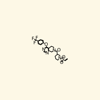 C=CS(=O)(=O)N1CCCC(C(=O)N2CCc3c(ncnc3Oc3ccc(C(F)(F)F)cc3)C2)C1